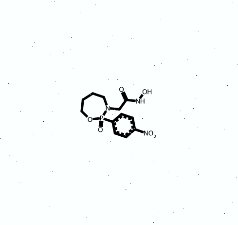 O=C(CN1CCCCOP1(=O)c1ccc([N+](=O)[O-])cc1)NO